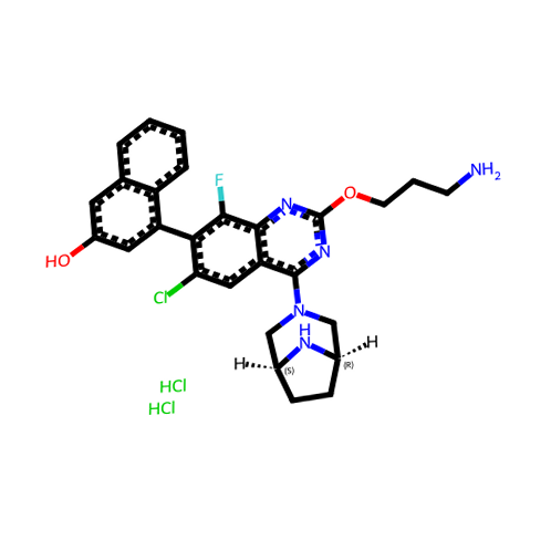 Cl.Cl.NCCCOc1nc(N2C[C@H]3CC[C@@H](C2)N3)c2cc(Cl)c(-c3cc(O)cc4ccccc34)c(F)c2n1